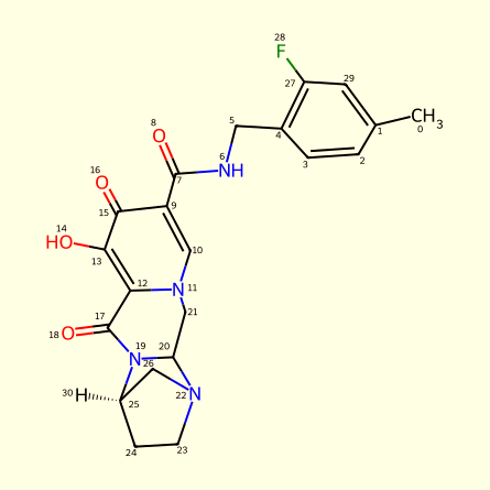 Cc1ccc(CNC(=O)c2cn3c(c(O)c2=O)C(=O)N2C(C3)N3CC[C@@H]2C3)c(F)c1